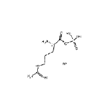 F.N=C(N)NCCC[C@H](N)C(=O)OP(=O)(O)O